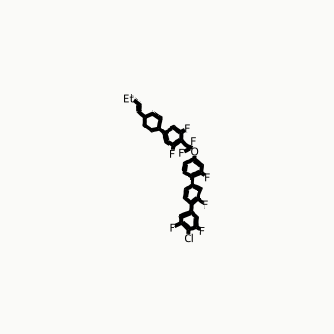 CC/C=C/C1CCC(c2cc(F)c(C(F)(F)Oc3ccc(-c4ccc(-c5cc(F)c(Cl)c(F)c5)c(F)c4)c(F)c3)c(F)c2)CC1